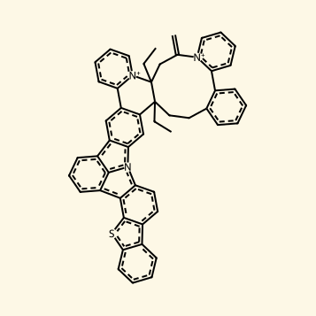 C=C1CC2(CC)[n+]3ccccc3-c3cc4c5cccc6c7c8sc9ccccc9c8ccc7n(c4cc3C2(CC)CCc2ccccc2-c2cccc[n+]21)c56